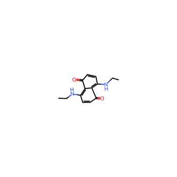 CCNC1=C2C(=O)C=CC(NCC)=C2C(=O)C=C1